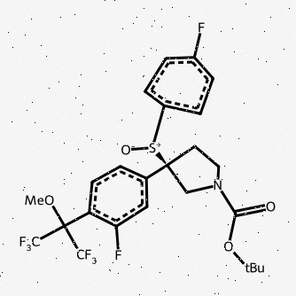 COC(c1ccc([C@]2([S+]([O-])c3ccc(F)cc3)CCN(C(=O)OC(C)(C)C)C2)cc1F)(C(F)(F)F)C(F)(F)F